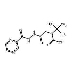 CC(C)(C)N(CC(=O)NNC(=O)c1cnccn1)C(=O)O